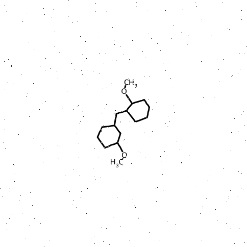 COC1CCCC([CH]C2CCCCC2OC)C1